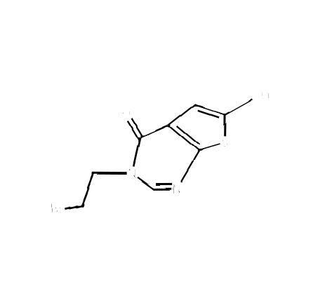 Cc1cc2c(=O)n(CCBr)cnc2s1